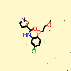 COCCOc1ccc(Cl)cc1NC(=O)c1ccns1